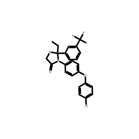 CCC1(c2cccc(C(F)(F)F)c2)SCC(=O)N1c1ccc(Oc2ccc(Cl)cc2)cc1